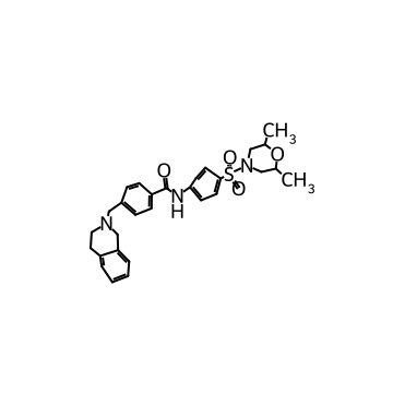 CC1CN(S(=O)(=O)c2ccc(NC(=O)c3ccc(CN4CCc5ccccc5C4)cc3)cc2)CC(C)O1